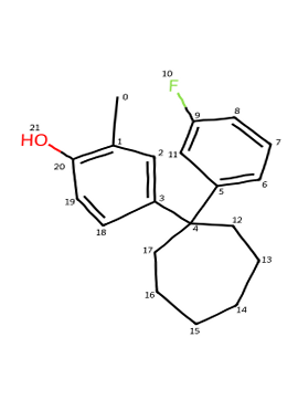 Cc1cc(C2(c3cccc(F)c3)CCCCCC2)ccc1O